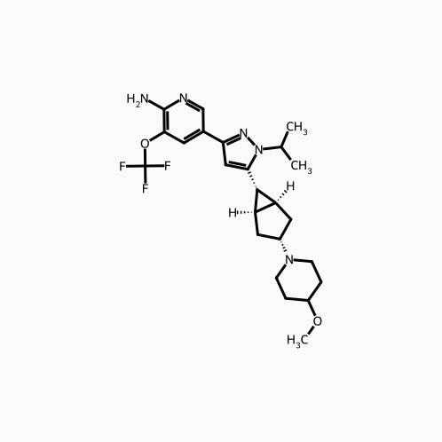 COC1CCN([C@@H]2C[C@@H]3[C@H](C2)[C@H]3c2cc(-c3cnc(N)c(OC(F)(F)F)c3)nn2C(C)C)CC1